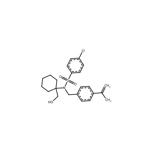 C=C(C)c1ccc(CN(C2(CO)CCCCC2)S(=O)(=O)c2ccc(Cl)cc2)cc1